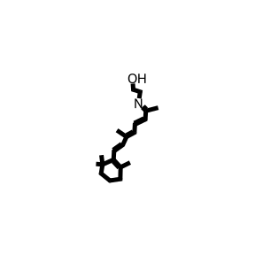 CC(/C=C/C=C(C)/C=C/C1=C(C)CCCC1(C)C)=NCCO